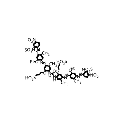 CCOc1cc(N=Nc2ccc([N+](=O)[O-])cc2S(=O)(=O)O)c(C)cc1N=Nc1cc(OCCCS(=O)(=O)O)c(NC(=O)Nc2cc(C)c(N=Nc3cc(C)c(N=Nc4ccc([N+](=O)[O-])cc4S(=O)(=O)O)cc3OCC)cc2OCCCS(=O)(=O)O)cc1C